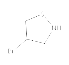 BrC1[CH]NSC1